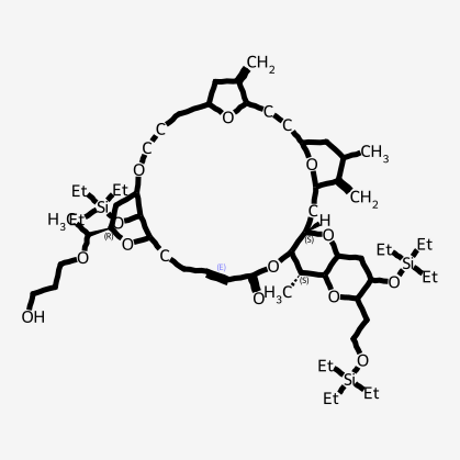 C=C1CC2CCCOC3C[C@H](C(C)OCCCO)OC(CC/C=C/C(=O)OC4[C@@H](C)C5OC(CCO[Si](CC)(CC)CC)C(O[Si](CC)(CC)CC)CC5O[C@H]4CC4OC(CCC1O2)CC(C)C4=C)C3O[Si](CC)(CC)CC